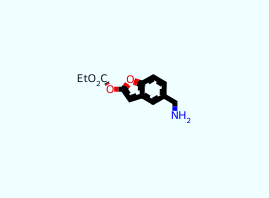 CCOC(=O)Oc1cc2cc(CN)ccc2o1